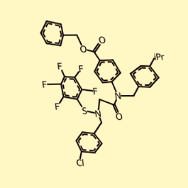 CC(C)c1ccc(CN(C(=O)CN(Cc2ccc(Cl)cc2)Sc2c(F)c(F)c(F)c(F)c2F)c2ccc(C(=O)OCc3ccccc3)cc2)cc1